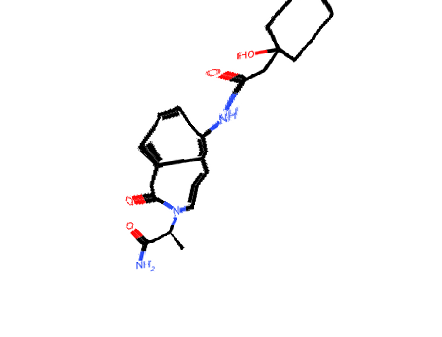 C[C@@H](C(N)=O)n1ccc2c(NC(=O)CC3(O)CCCCCC3)cccc2c1=O